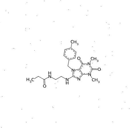 CCC(=O)NCCNc1nc2c(c(=O)n(C)c(=O)n2C)n1Cc1ccc(C)cc1